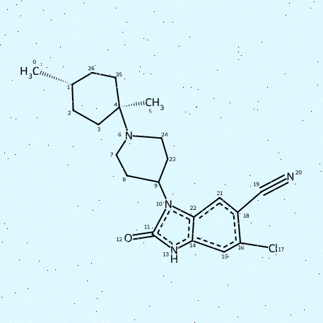 C[C@H]1CC[C@](C)(N2CCC(n3c(=O)[nH]c4cc(Cl)c(C#N)cc43)CC2)CC1